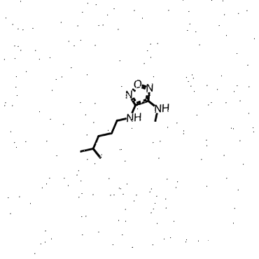 CNc1nonc1NCCCC(C)C